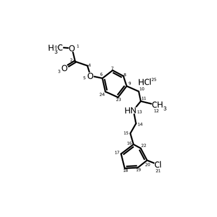 COC(=O)COc1ccc(CC(C)NCCc2cccc(Cl)c2)cc1.Cl